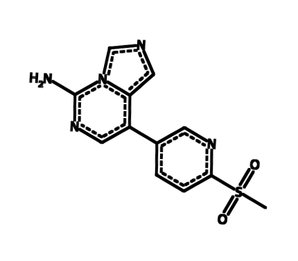 CS(=O)(=O)c1ccc(-c2cnc(N)n3cncc23)cn1